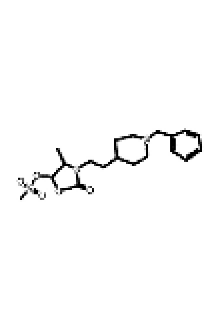 CC1C(OS(C)(=O)=O)OC(=O)N1CCC1CCN(Cc2ccccc2)CC1